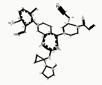 C=CC(=O)N1CCN(c2nc(OC3([C@@H]4CCCN4C)CC3)nc3c2CCN(c2c(C)ccc(N)c2C=N)C3)C[C@@H]1CC#N